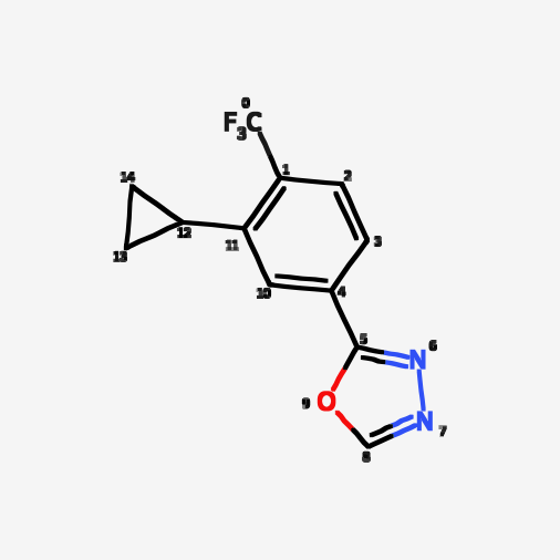 FC(F)(F)c1ccc(-c2nnco2)cc1C1CC1